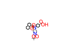 CC(C)(C)OC(=O)N1CCC(N(c2ccc(C(=O)O)cc2)S(=O)(=O)c2cccc3ccccc23)CC1